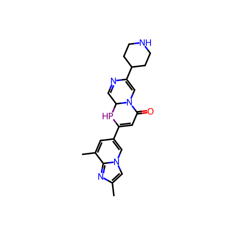 Cc1cn2cc(C3=CC(=O)N4C=C(C5CCNCC5)N=CC4P3)cc(C)c2n1